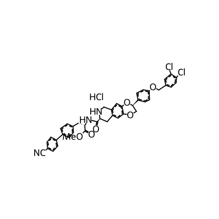 COC(=O)[C@H](Cc1ccc(-c2ccc(C#N)cc2)cc1)NC(=O)[C@@H]1Cc2cc3c(cc2CN1)O[C@@H](c1ccc(OCc2ccc(Cl)c(Cl)c2)cc1)CO3.Cl